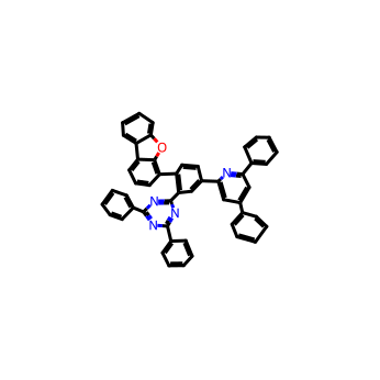 c1ccc(-c2cc(-c3ccccc3)nc(-c3ccc(-c4cccc5c4oc4ccccc45)c(-c4nc(-c5ccccc5)nc(-c5ccccc5)n4)c3)c2)cc1